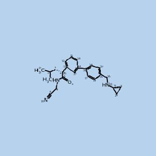 CC(C)C[C@@H](C(=O)NCC#N)c1cccc(-c2ccc(CNC3CC3)cc2)c1